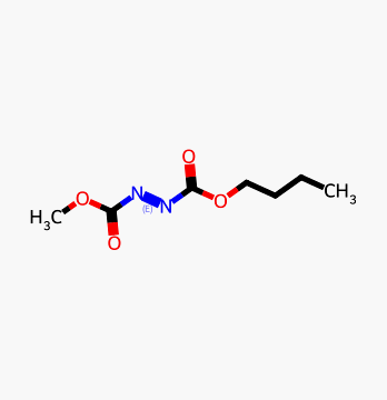 CCCCOC(=O)/N=N/C(=O)OC